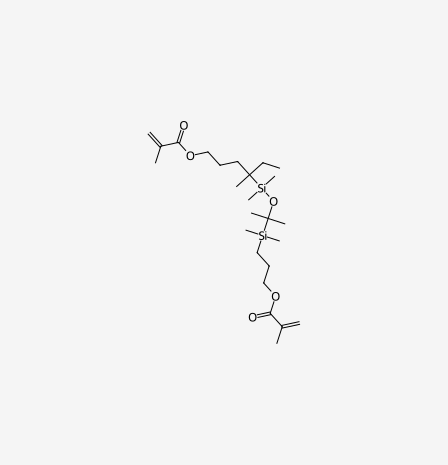 C=C(C)C(=O)OCCCC(C)(CC)[Si](C)(C)OC(C)(C)[Si](C)(C)CCCOC(=O)C(=C)C